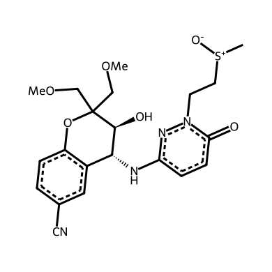 COCC1(COC)Oc2ccc(C#N)cc2[C@@H](Nc2ccc(=O)n(CC[S+](C)[O-])n2)[C@@H]1O